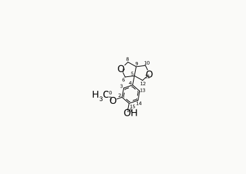 COc1cc(C23COCC2COC3)ccc1O